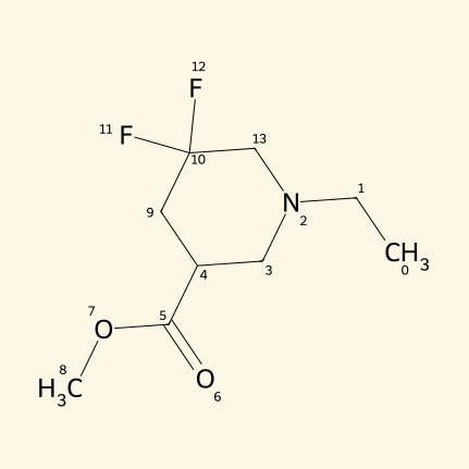 CCN1CC(C(=O)OC)CC(F)(F)C1